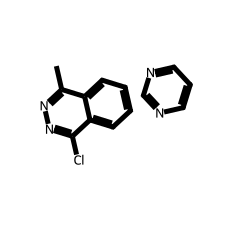 Cc1nnc(Cl)c2ccccc12.c1cncnc1